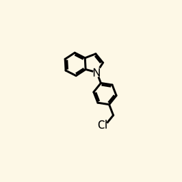 ClCc1ccc(-n2ccc3ccccc32)cc1